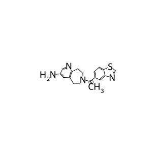 C[C@@H](c1ccc2scnc2c1)N1CCc2cc(N)cnc2CC1